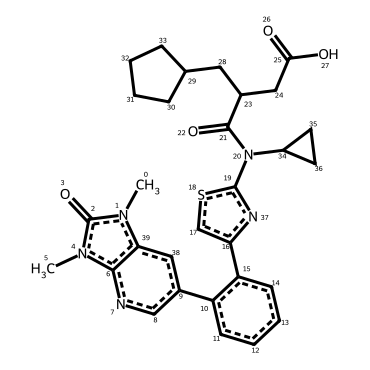 Cn1c(=O)n(C)c2ncc(-c3ccccc3-c3csc(N(C(=O)C(CC(=O)O)CC4CCCC4)C4CC4)n3)cc21